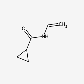 C=CNC(=O)C1CC1